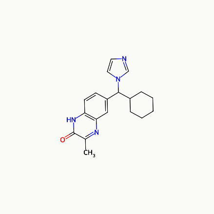 Cc1nc2cc(C(C3CCCCC3)n3ccnc3)ccc2[nH]c1=O